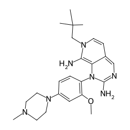 COc1cc(N2CCN(C)CC2)ccc1N1C(N)=NC=C2C=CN(CC(C)(C)C)C(N)=C21